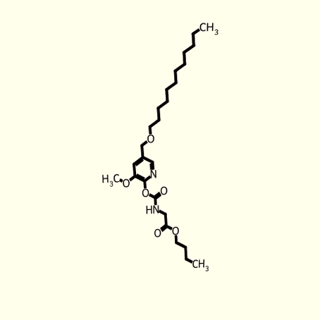 CCCCCCCCCCCCOCc1cnc(OC(=O)NCC(=O)OCCCC)c(OC)c1